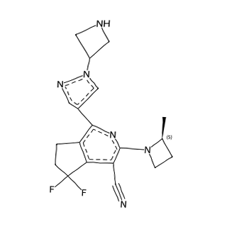 C[C@H]1CCN1c1nc(-c2cnn(C3CNC3)c2)c2c(c1C#N)C(F)(F)CC2